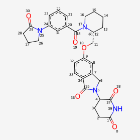 O=C1CCC(N2Cc3cc(OC[C@H]4CCCCN4C(=O)c4cccc(N5CCCC5=O)c4)ccc3C2=O)C(=O)N1